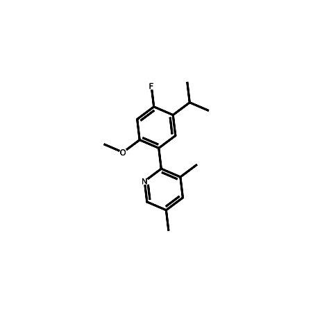 COc1cc(F)c(C(C)C)cc1-c1ncc(C)cc1C